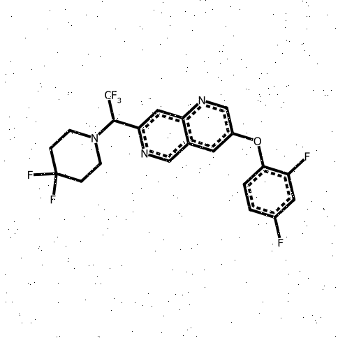 Fc1ccc(Oc2cnc3cc(C(N4CCC(F)(F)CC4)C(F)(F)F)ncc3c2)c(F)c1